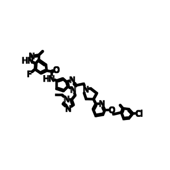 CCn1cncc1Cn1c(CN2CCC(c3cccc(OCc4ccc(Cl)cc4C)n3)CC2)nc2cc(NC(=O)c3cc(F)c4[nH]nc(C)c4c3)ccc21